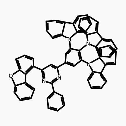 c1ccc(-c2nc(-c3cc(-n4c5ccccc5c5ccccc54)c(-n4c5ccccc5c5ccccc54)c(-n4c5ccccc5c5ccccc54)c3)cc(-c3cccc4oc5ccccc5c34)n2)cc1